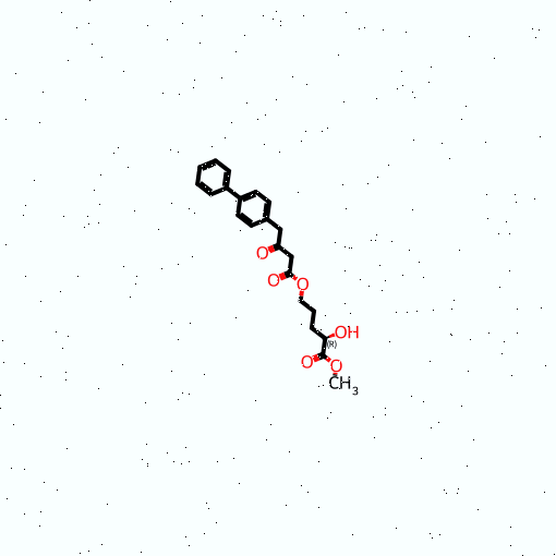 COC(=O)[C@H](O)CCCOC(=O)CC(=O)Cc1ccc(-c2ccccc2)cc1